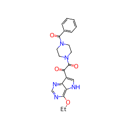 CCOc1ncnc2c(C(=O)C(=O)N3CCN(C(=O)c4ccccc4)CC3)c[nH]c12